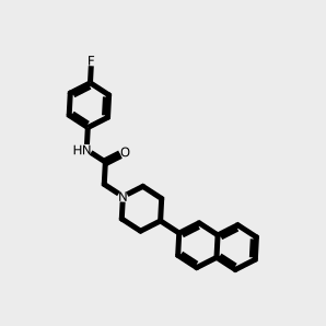 O=C(CN1CCC(c2ccc3ccccc3c2)CC1)Nc1ccc(F)cc1